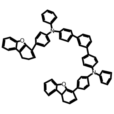 C1=CC(c2ccc(N(c3ccccc3)c3ccc(-c4cccc(-c5ccc(N(c6ccccc6)c6ccc(C7=CCCc8c7oc7ccccc87)cc6)cc5)c4)cc3)cc2)=C2Oc3ccccc3C2C1